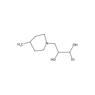 CCC(O)C(O)CN1CCC(C)CC1